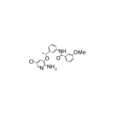 COc1cccc(C(=O)Nc2cccc([C@H](C)Oc3cc(Cl)cnc3N)c2)c1